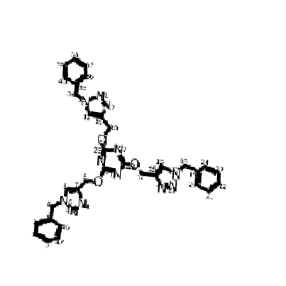 c1ccc(Cn2cc(COc3nc(OCc4cn(Cc5ccccc5)nn4)nc(OCc4cn(Cc5ccccc5)nn4)n3)nn2)cc1